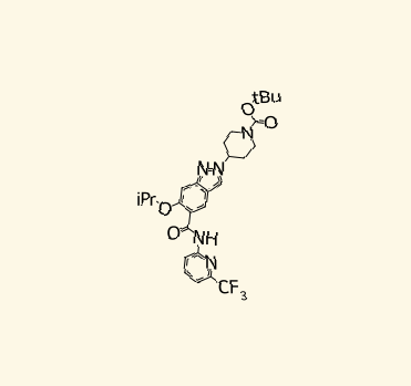 CC(C)Oc1cc2nn(C3CCN(C(=O)OC(C)(C)C)CC3)cc2cc1C(=O)Nc1cccc(C(F)(F)F)n1